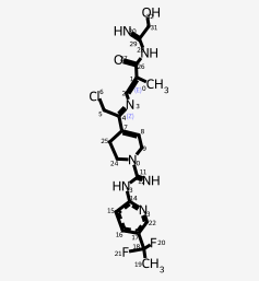 C/C(=C\N=C(/CCl)C1=CCN(C(=N)Nc2ccc(C(C)(F)F)cn2)CC1)C(=O)NC(=N)CO